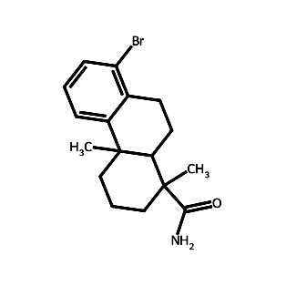 CC1(C(N)=O)CCCC2(C)c3cccc(Br)c3CCC12